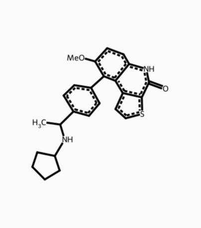 COc1ccc2[nH]c(=O)c3sccc3c2c1-c1ccc(C(C)NC2CCCC2)cc1